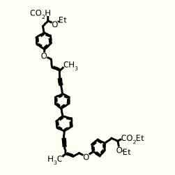 CCOC(=O)C(Cc1ccc(OCC=C(C)C#Cc2ccc(-c3ccc(C#CC(C)=CCOc4ccc(CC(OCC)C(=O)O)cc4)cc3)cc2)cc1)OCC